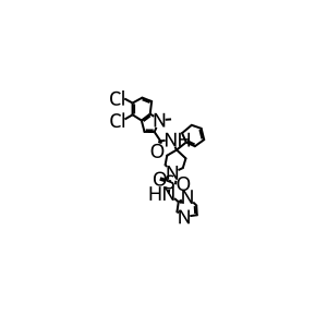 Cn1c(C(=O)NC2(C3=CC=CCC3)CCN(S(=O)(=O)Nc3cnccn3)CC2)cc2c(Cl)c(Cl)ccc21